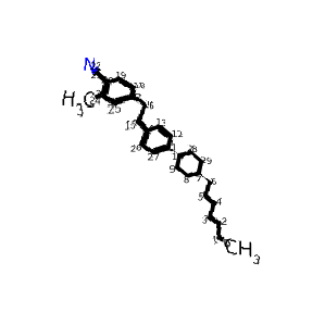 CCCCCCC[C@H]1CC[C@H](c2ccc(CCc3ccc(C#N)c(C)c3)cc2)CC1